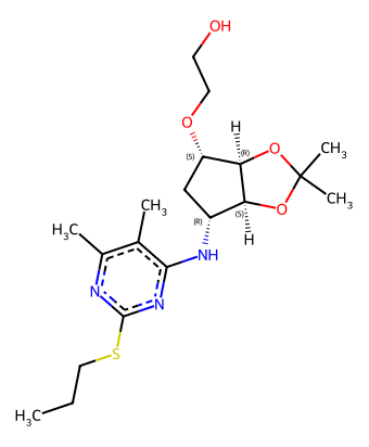 CCCSc1nc(C)c(C)c(N[C@@H]2C[C@H](OCCO)[C@H]3OC(C)(C)O[C@H]32)n1